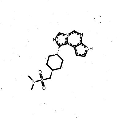 CN(C)S(=O)(=O)C[C@H]1CC[C@H](c2ncn3cnc4[nH]ccc4c23)CC1